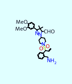 C=CC(c1ccccc1CN)S(=O)(=O)N1CCC(N2N=C(c3ccc(OC)c(OC)c3)C(C)(C)C2C=O)CC1